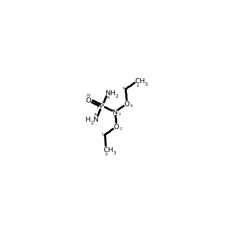 CCON(OCC)P(N)(N)=O